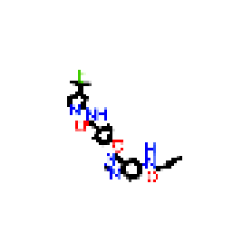 CC#CC(=O)Nc1ccc2ncnc(Oc3ccc(C(=O)Nc4cc(C(C)(C)F)ccn4)cc3)c2c1